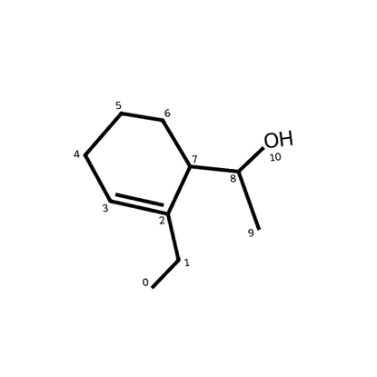 CCC1=CCCCC1C(C)O